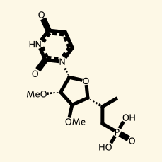 COC1[C@@H](C(C)CP(=O)(O)O)O[C@@H](n2ccc(=O)[nH]c2=O)[C@H]1OC